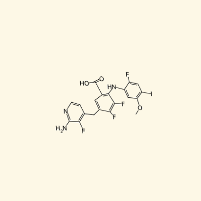 COc1cc(Nc2c(C(=O)O)cc(Cc3ccnc(N)c3F)c(F)c2F)c(F)cc1I